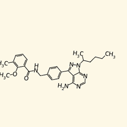 CCCCC(C)n1nc(-c2ccc(CNC(=O)c3cccc(C)c3OC)cc2)c2c(N)ncnc21